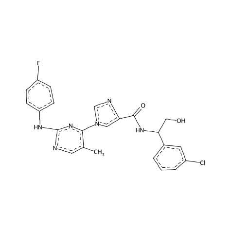 Cc1cnc(Nc2ccc(F)cc2)nc1-n1cnc(C(=O)NC(CO)c2cccc(Cl)c2)c1